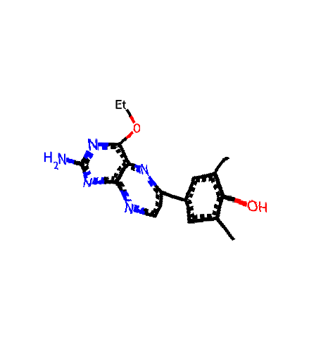 CCOc1nc(N)nc2ncc(-c3cc(C)c(O)c(C)c3)nc12